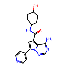 Nc1ncnn2c(-c3ccncc3)cc(C(=O)NC3CCC(O)CC3)c12